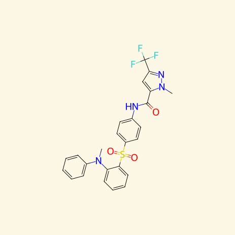 CN(c1ccccc1)c1ccccc1S(=O)(=O)c1ccc(NC(=O)c2cc(C(F)(F)F)nn2C)cc1